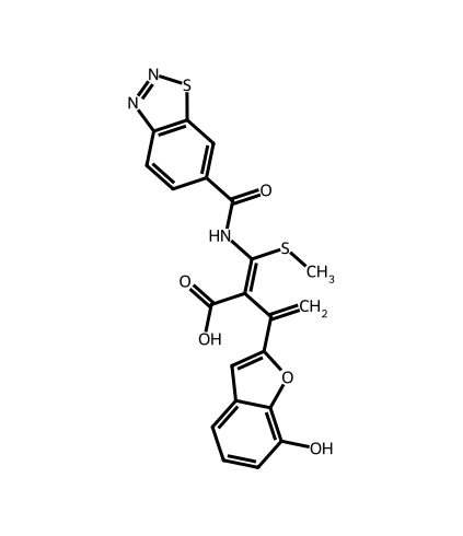 C=C(/C(C(=O)O)=C(/NC(=O)c1ccc2nnsc2c1)SC)c1cc2cccc(O)c2o1